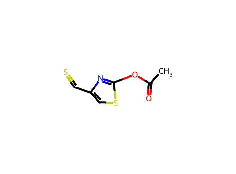 CC(=O)Oc1nc(C=S)cs1